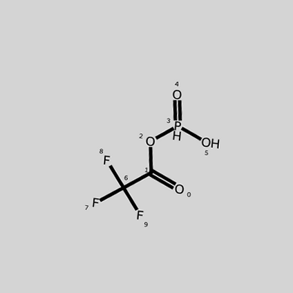 O=C(O[PH](=O)O)C(F)(F)F